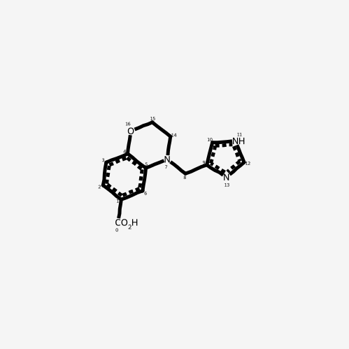 O=C(O)c1ccc2c(c1)N(Cc1c[nH]cn1)CCO2